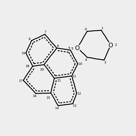 C1COCCO1.c1cc2ccc3cccc4ccc(c1)c2c34